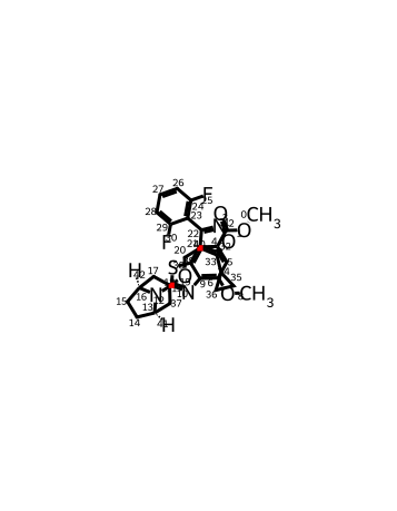 COC(=O)c1cc(OC)c2nc(N3[C@@H]4CC[C@H]3C[C@@H](OCc3c(-c5c(F)cccc5F)noc3C3CC3)C4)sc2c1